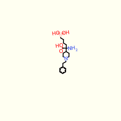 NC(CCCCB(O)O)(C(=O)O)C1CCN(CCc2ccccc2)CC1